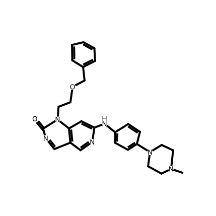 CN1CCN(c2ccc(Nc3cc4c(cn3)cnc(=O)n4CCOCc3ccccc3)cc2)CC1